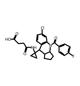 O=C(O)CCC(=O)NC1(C2c3ccc(Cl)cc3N(C(=O)c3ccc(F)cc3)C3CCCC32)CC1